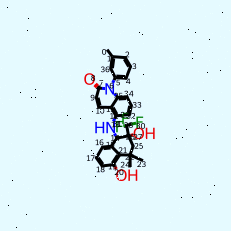 Cc1cccc(-n2c(=O)ccc3c(NC4c5cccc(O)c5C(C)(C)CC4(O)C(F)(F)F)cccc32)c1